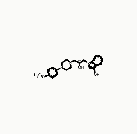 COc1ccc(N2CCN(C[C@@H](O)Cn3cc(O)c4ccccc43)CC2)cc1